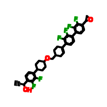 CCC(O)c1ccc(C2CCC(OCC3CC=C(c4ccc(-c5ccc(C6CO6)c(F)c5F)c(F)c4F)CC3)CC2)c(F)c1F